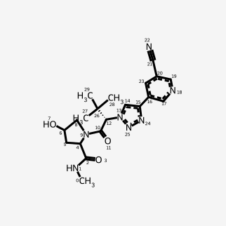 CNC(=O)C1CC(O)CN1C(=O)[C@@H](n1cc(-c2cncc(C#N)c2)nn1)C(C)(C)C